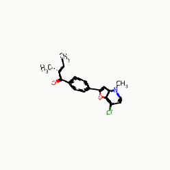 CC[C@@H](C)C(=O)c1ccc(C2=CC3C(=C(Cl)C=CN3C)O2)cc1